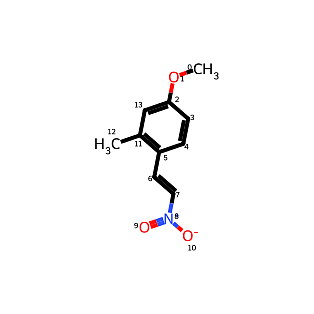 COc1ccc(C=C[N+](=O)[O-])c(C)c1